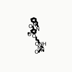 COc1cc2c(cc1OCCCC(=O)Nc1cn(C)c(C=O)n1)N=CC1Cc3ccccc3N1C2=O